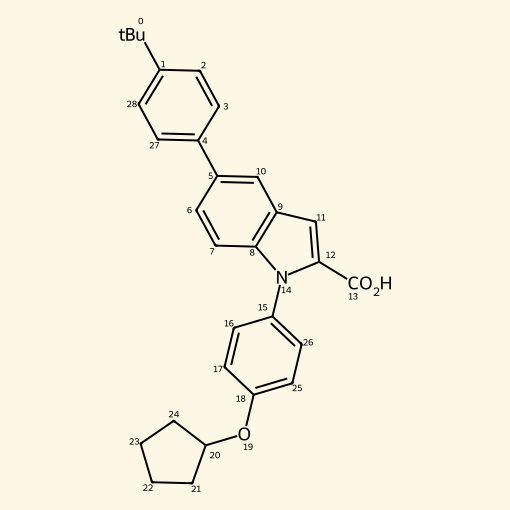 CC(C)(C)c1ccc(-c2ccc3c(c2)cc(C(=O)O)n3-c2ccc(OC3CCCC3)cc2)cc1